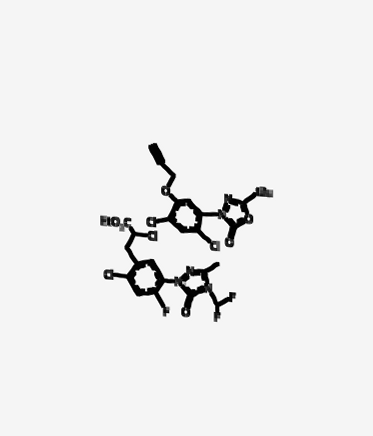 C#CCOc1cc(-n2nc(C(C)(C)C)oc2=O)c(Cl)cc1Cl.CCOC(=O)C(Cl)Cc1cc(-n2nc(C)n(C(F)F)c2=O)c(F)cc1Cl